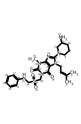 CC(C)=CCn1c(N2CCCC(N)C2)nc2c1c(=O)n(CS(=O)(=O)CNc1ccccc1)c(=O)n2C